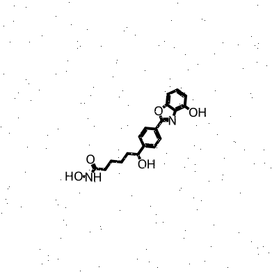 O=C(CCCCC(O)c1ccc(-c2nc3c(O)cccc3o2)cc1)NO